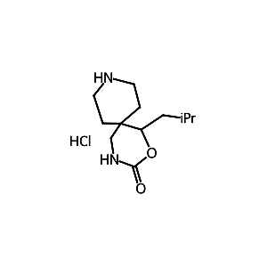 CC(C)CC1OC(=O)NCC12CCNCC2.Cl